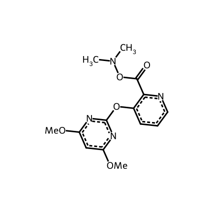 COc1cc(OC)nc(Oc2cccnc2C(=O)ON(C)C)n1